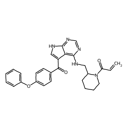 C=CC(=O)N1CCCCC1CNc1ncnc2[nH]cc(C(=O)c3ccc(Oc4ccccc4)cc3)c12